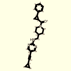 O=C(C1CC1c1ccccc1)N1CCC(CNc2ncc(C#CC3CC3)cn2)CC1